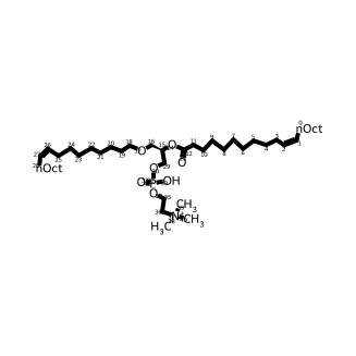 CCCCCCCC/C=C\CCCCCCCCCC(=O)O[C@H](COCCCCCCCC/C=C\CCCCCCCC)COP(=O)(O)OCC[N+](C)(C)C